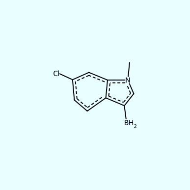 Bc1cn(C)c2cc(Cl)ccc12